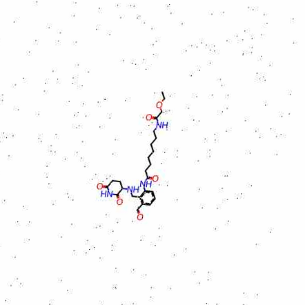 CCOCC(=O)NCCCCCCCC(=O)Nc1cccc(C=O)c1CNC1CCC(=O)NC1=O